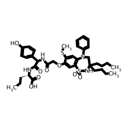 CCCCC1(CCCC)CN(c2ccccc2)c2cc(SC)c(OCC(=O)NC(C(=O)N[C@@H](CCC)C(=O)O)c3ccc(O)cc3)cc2S(=O)(=O)N1